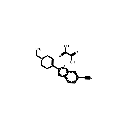 CCN1CC=C(c2cc3ccc(C#N)cc3s2)CC1.O=C(O)C(=O)O